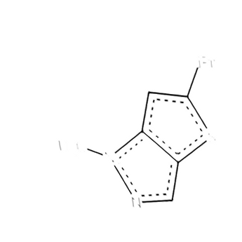 CC(C)c1cc2c(cnn2C)s1